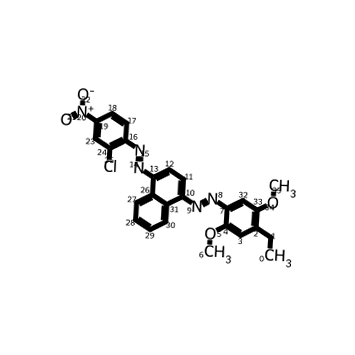 CCc1cc(OC)c(N=Nc2ccc(N=Nc3ccc([N+](=O)[O-])cc3Cl)c3ccccc23)cc1OC